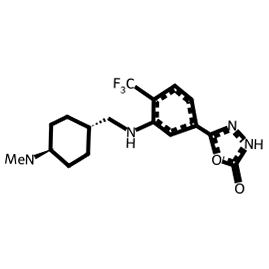 CN[C@H]1CC[C@H](CNc2cc(-c3n[nH]c(=O)o3)ccc2C(F)(F)F)CC1